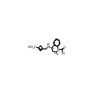 CCC(=O)N1c2ccccc2[C@H](NCC23CC(C(=O)O)(C2)C3)C[C@@H]1C